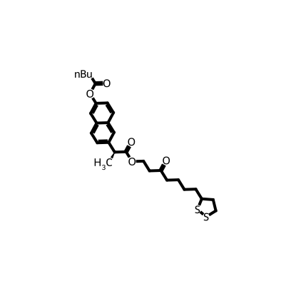 CCCCC(=O)Oc1ccc2cc([C@H](C)C(=O)OCCC(=O)CCCCC3CCSS3)ccc2c1